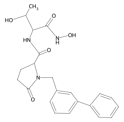 CC(O)C(NC(=O)C1CCC(=O)N1Cc1cccc(-c2ccccc2)c1)C(=O)NO